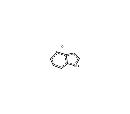 [K].c1cnc2cc[nH]c2c1